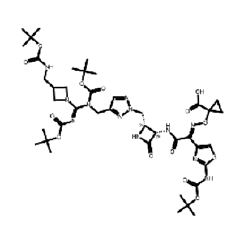 CC(C)(C)OC(=O)N=C(N1CC(CNC(=O)OC(C)(C)C)C1)N(Cc1cnn(C[C@H]2NC(=O)[C@H]2NC(=O)C(=NOC2(C(=O)O)CC2)c2csc(NC(=O)OC(C)(C)C)n2)n1)C(=O)OC(C)(C)C